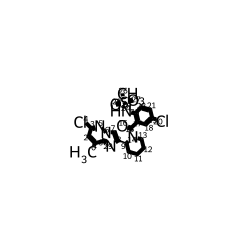 Cc1cc(Cl)nn2cc([C@@H]3CCCCN3C(=O)c3cc(Cl)ccc3NS(C)(=O)=O)nc12